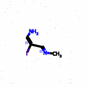 C/N=C/C(I)=C\N